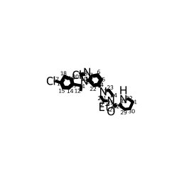 CC[C@@H]1CN(c2ccc3ncn(C(C)c4ccc(Cl)cc4Cl)c3c2)CCN1C(=O)[C@H]1CCCCN1